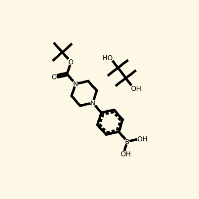 CC(C)(C)OC(=O)N1CCN(c2ccc(B(O)O)cc2)CC1.CC(C)(O)C(C)(C)O